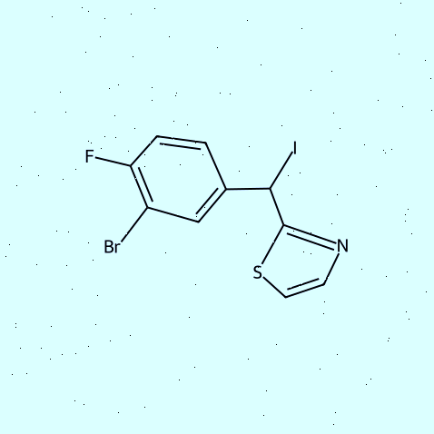 Fc1ccc(C(I)c2nccs2)cc1Br